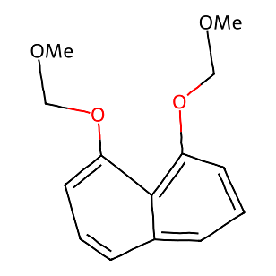 COCOc1cccc2cccc(OCOC)c12